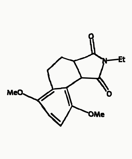 CCN1C(=O)C2CCc3c(OC)ccc(OC)c3C2C1=O